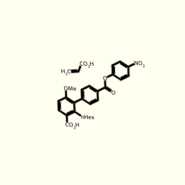 C=CC(=O)O.CCCCCCc1c(C(=O)O)ccc(OC)c1-c1ccc(C(=O)Oc2ccc([N+](=O)[O-])cc2)cc1